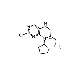 CC[C@@H]1CNc2cnc(Cl)nc2N1C1CCCC1